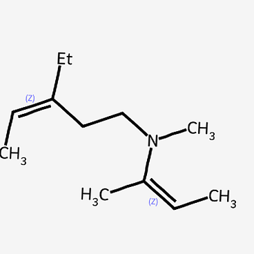 C/C=C(/CC)CCN(C)/C(C)=C\C